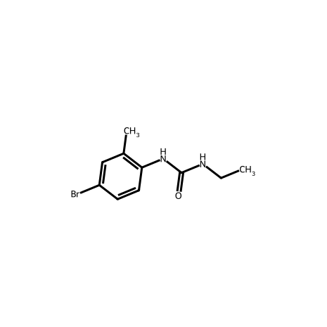 CCNC(=O)Nc1ccc(Br)cc1C